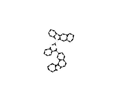 c1ccc2cc3c(cc2c1)c1ccccc1n3-c1nc(-c2ccc3ccc4oc5ccccc5c4c3c2)c2ccccc2n1